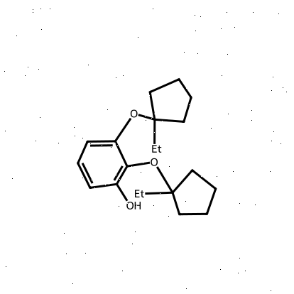 CCC1(Oc2cccc(O)c2OC2(CC)CCCC2)CCCC1